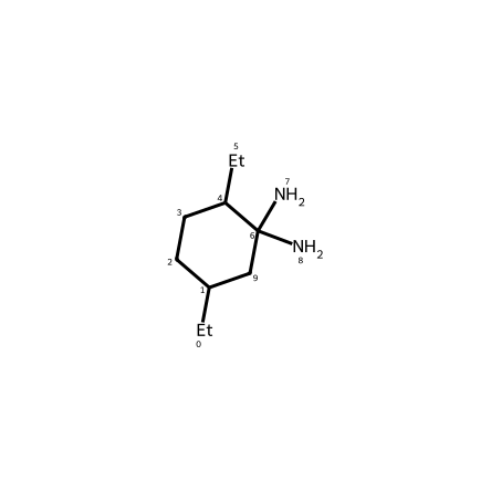 CCC1CCC(CC)C(N)(N)C1